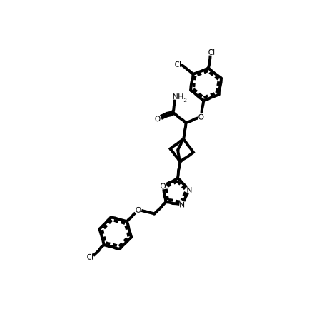 NC(=O)C(Oc1ccc(Cl)c(Cl)c1)C12CC(c3nnc(COc4ccc(Cl)cc4)o3)(C1)C2